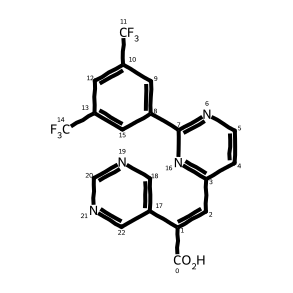 O=C(O)C(=Cc1ccnc(-c2cc(C(F)(F)F)cc(C(F)(F)F)c2)n1)c1cncnc1